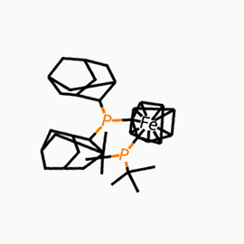 CC(C)(C)P(C(C)(C)C)[C]12[CH]3[CH]4[CH]5[C]1(P(C1C6CC7CC(C6)CC1C7)C1C6CC7CC(C6)CC1C7)[Fe]45321678[CH]2[CH]1[CH]6[CH]7[CH]28